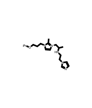 Cc1n(CCCOC(C)C)cc[n+]1CC(C)NCCn1ccnc1